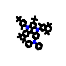 Cc1cc(C(C)(C)C)ccc1N1c2cc3c(cc2B2c4cc(N(c5ccccc5)c5ccccc5)ccc4N(c4cc5c(cc4C)C(C)(C)CCC5(C)C)c4cc(C(C)(C)C)cc1c42)C(C)(C)CC3(C)C